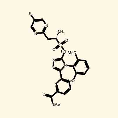 CNC(=O)c1cccc(-c2nnc(NS(=O)(=O)[C@@H](C)Cc3ncc(F)cn3)n2-c2c(OC)cccc2OC)n1